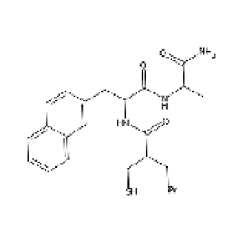 CC(C)CC(CS)C(=O)NC(Cc1ccc2ccccc2c1)C(=O)NC(C)C(N)=O